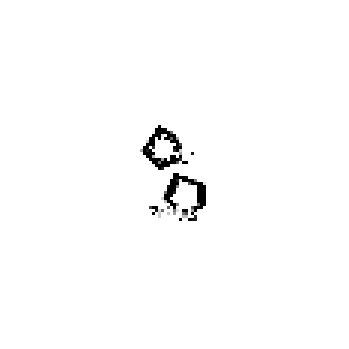 C1=C[As-]C=C1.[Zr+2].c1cc[cH-]c1